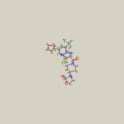 O=C(c1nc2c(C(F)(F)F)cc(-c3ccco3)cn2c1Cl)N1CCC(N2CCOC2=O)CC1